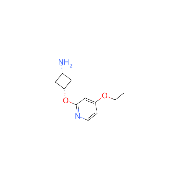 CCOc1ccnc(O[C@H]2C[C@@H](N)C2)c1